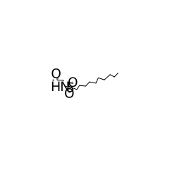 CCCCCCCCCCS(=O)(=O)NC[C]=O